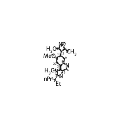 CCCC(CC)c1nc2cnc3cc(-c4c(C)noc4C)c(OC)cc3c2n1C